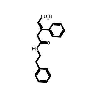 O=C(O)C=C(CC(=O)NCCc1ccccc1)c1ccccc1